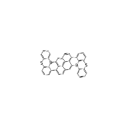 c1ccc2c(c1)Sc1cccc3c1B2c1cc2ccc4c5c(cc6ccc-3c1c6c25)B1c2ccccc2Sc2cccc-4c21